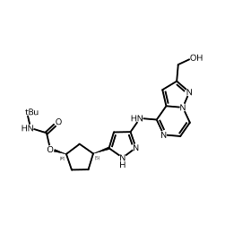 CC(C)(C)NC(=O)O[C@@H]1CC[C@H](c2cc(Nc3nccn4nc(CO)cc34)n[nH]2)C1